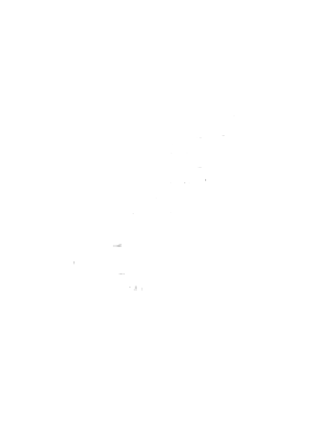 CCC1CCC2(C)C3CCC4C(C)(C)C(OC(=O)c5cc(C)cc(N)c5)CCC4(C)C3CCC12C